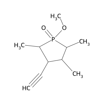 C#CC1C(C)C(C)P(=O)(OC)C1C